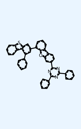 c1ccc(-c2nc(-c3ccccc3)nc(-c3ccc4c(c3)oc3c(-c5cc(-c6ccccc6)c6c(c5)sc5ccccc56)cccc34)n2)cc1